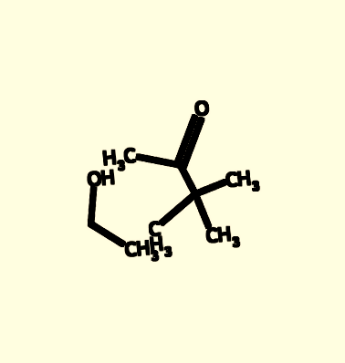 CC(=O)C(C)(C)C.CCO